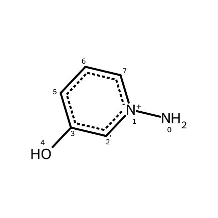 N[n+]1[c]c(O)ccc1